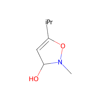 CC(C)C1=CC(O)N(C)O1